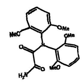 COc1cccc(OC)c1N(C(=O)C(N)=O)c1c(OC)cccc1OC